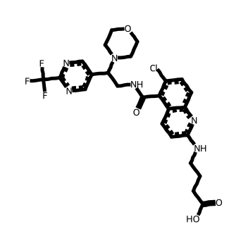 O=C(O)CCCNc1ccc2c(C(=O)NCC(c3cnc(C(F)(F)F)nc3)N3CCOCC3)c(Cl)ccc2n1